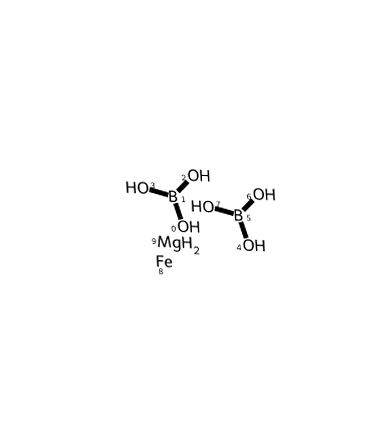 OB(O)O.OB(O)O.[Fe].[MgH2]